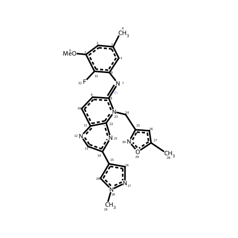 COc1cc(C)cc(/N=c2\ccc3ncc(-c4cnn(C)c4)nc3n2Cc2cc(C)on2)c1F